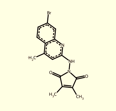 [CH2]c1cc(NN2C(=O)C(C)=C(C)C2=O)nc2cc(Br)ccc12